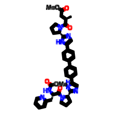 COC(=O)C[C@@H](C)C(=O)N1CCC[C@H]1c1ncc(-c2ccc(-c3ccc(-c4cnc([C@@H]5CCCN5C(=O)[C@H](Cc5ccccn5)NC(=O)OC)[nH]4)cc3)cc2)[nH]1